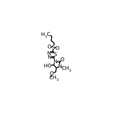 CCCCS(=O)(=O)c1nnc(N2C(=O)N(C)C(COC)C2O)s1